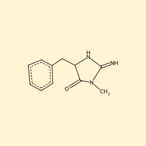 CN1C(=N)NC(Cc2ccccc2)C1=O